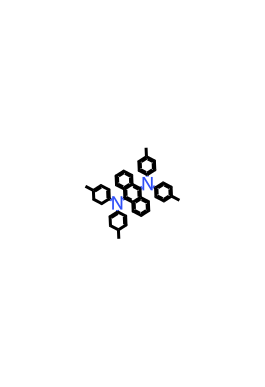 CC1=CC=C(N(C2=CCC(C)C=C2)c2c3ccccc3c(N(c3ccc(C)cc3)c3ccc(C)cc3)c3ccccc23)CC1